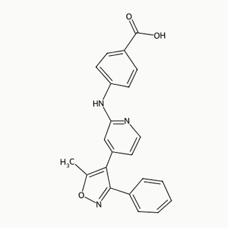 Cc1onc(-c2ccccc2)c1-c1ccnc(Nc2ccc(C(=O)O)cc2)c1